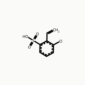 C=Cc1c(Cl)cccc1S(=O)(=O)O